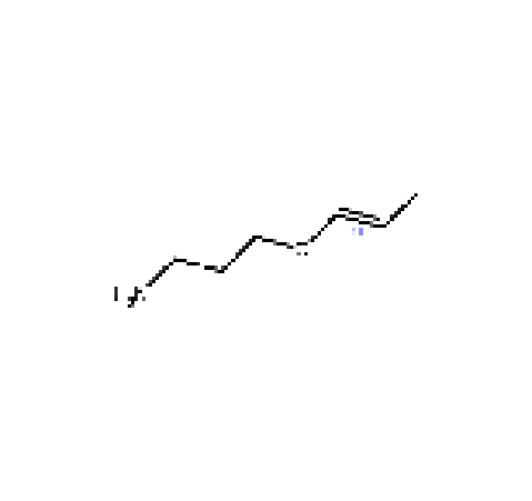 C/C=C/OCCCN